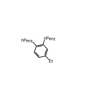 [CH2]Cc1ccc(CCCCC)c(CCCCC)c1